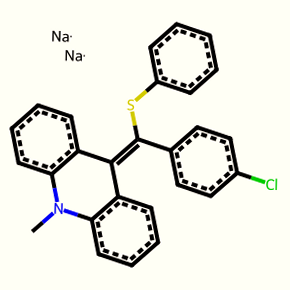 CN1c2ccccc2C(=C(Sc2ccccc2)c2ccc(Cl)cc2)c2ccccc21.[Na].[Na]